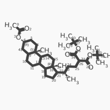 CC(=O)O[C@@H]1CC[C@@]2(C)C(CCC3C2CC[C@@]2(C)C3CCC2[C@H](C)CCC(C(=O)OC(C)(C)C)C(=O)OC(C)(C)C)C1